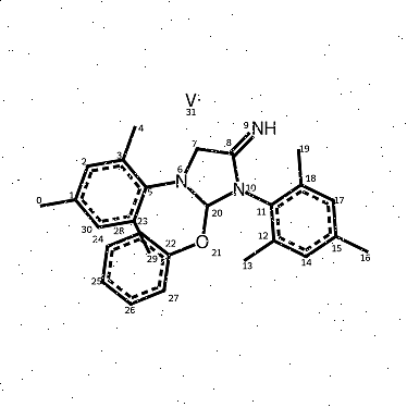 Cc1cc(C)c(N2CC(=N)N(c3c(C)cc(C)cc3C)C2Oc2ccccc2)c(C)c1.[V]